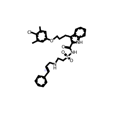 Cc1cc(OCCCc2c(C(=O)NS(=O)(=O)CCNC/C=C/c3ccccc3)[nH]c3ccccc23)cc(C)c1Cl